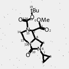 COC(=O)C1C2CN(C3CC3)C(=O)N2CCN1C(=O)OC(C)(C)C